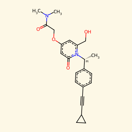 C[C@H](c1ccc(C#CC2CC2)cc1)n1c(CO)cc(OCC(=O)N(C)C)cc1=O